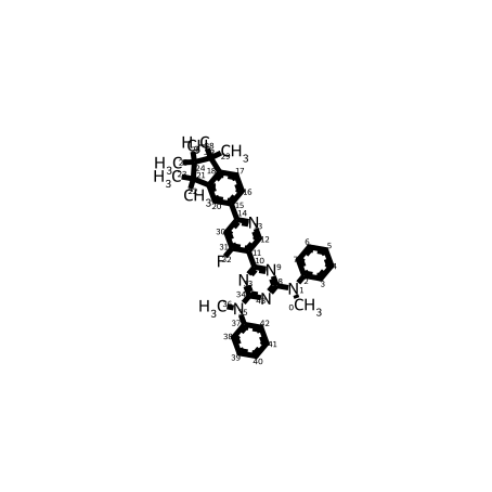 CN(c1ccccc1)c1nc(-c2cnc(-c3ccc4c(c3)C(C)(C)C(C)(C)C4(C)C)cc2F)nc(N(C)c2ccccc2)n1